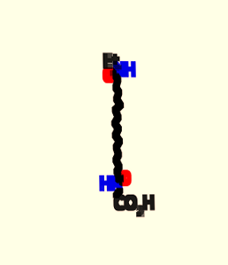 CCNC(=O)CCCCCCCCCCCCCCCCC(=O)NCCC(=O)O